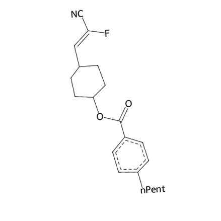 CCCCCc1ccc(C(=O)OC2CCC(C=C(F)C#N)CC2)cc1